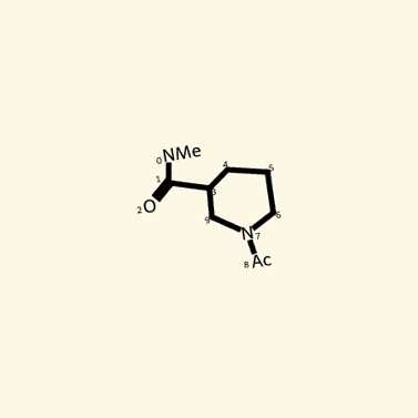 CNC(=O)C1CCCN(C(C)=O)C1